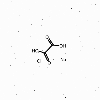 O=C(O)C(=O)O.[Cl-].[Na+]